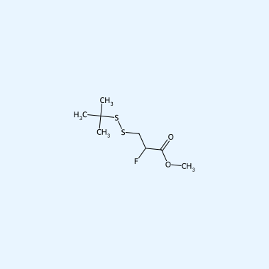 COC(=O)C(F)CSSC(C)(C)C